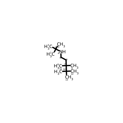 CC(C)(C)NCCC(C)(C)C(C)(C)C